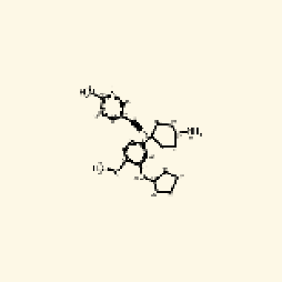 COc1ccc([C@]2(C#Cc3cnc(N)nc3)CC[C@H](N)CC2)cc1OC1CCCC1